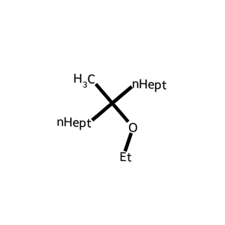 CCCCCCCC(C)(CCCCCCC)OCC